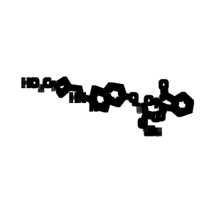 CC(C)(C)OC(=O)[C@H](COc1ccc2cc(NCC3CN(C(=O)O)C3)ncc2c1)ON1C(=O)c2ccccc2C1=O